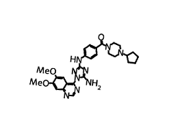 COc1cc2ncnc(-n3nc(Nc4ccc(C(=O)N5CCN(C6CCCC6)CC5)cc4)nc3N)c2cc1OC